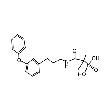 CC(C)(C(=O)NCCCc1cccc(Oc2ccccc2)c1)P(=O)(O)O